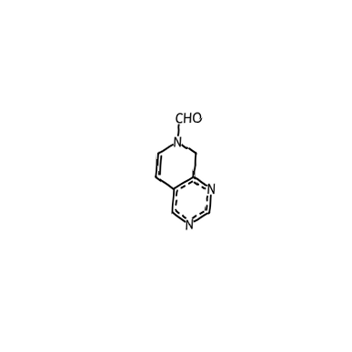 O=CN1C=Cc2cncnc2C1